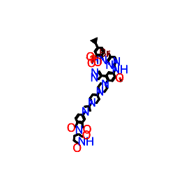 COc1cc(N2CCN(C3CCN(C4CN(c5ccc6c(c5)C(=O)N(C5CCC(=O)NC5=O)C6=O)C4)CC3)CC2)c(-c2cnn(C)c2)cc1Nc1ncc(Br)c(Nc2ccc(C3CC3)cc2P(=O)(OC)OC)n1